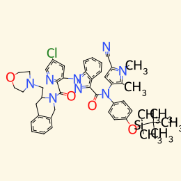 Cc1c(N(C(=O)c2nn(-c3cc(Cl)cnc3C(=O)N3Cc4ccccc4CC3CN3CCOCC3)c3ccccc23)c2ccc(O[Si](C)(C)C(C)(C)C)cc2)cc(C#N)n1C